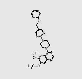 COc1cc2ncnc(N3CCN(c4ncc(COc5ccccc5)cn4)CC3)c2cc1OC